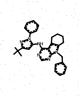 CC(C)(C)c1cc(Nc2ncnc3c2c2c(n3Cc3ccccc3)CCCC2)n(-c2ccccc2)n1